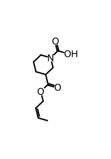 C/C=C\COC(=O)C1CCCN(C(=O)O)C1